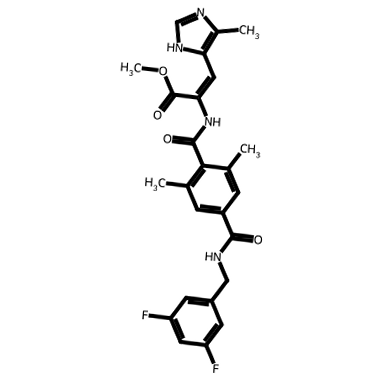 COC(=O)C(=Cc1[nH]cnc1C)NC(=O)c1c(C)cc(C(=O)NCc2cc(F)cc(F)c2)cc1C